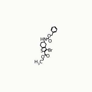 CCOC(=O)c1sc2c(c1Br)CC(NC(=O)OCc1ccccc1)CC2